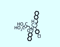 CC(C(C/C=C/c1ccc2ccccc2c1)c1ccc(Cl)cc1)N(Cc1ccc2ccccc2c1)C(=O)CC(CC(=O)O)C(=O)O